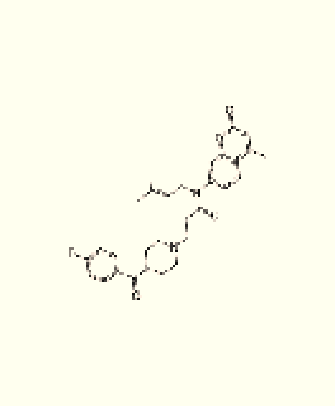 CC(C)=CCN(C(=O)CCN1CCN(C(=O)c2ccc(F)cc2)CC1)c1ccc2c(C)cc(=O)oc2c1